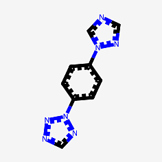 c1ncn(-c2ccc(-n3ncnn3)cc2)n1